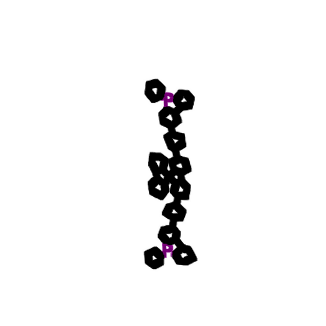 c1ccc(-p2c3ccccc3c3cc(-c4ccc(-c5ccc6c(c5)C5(c7ccccc7-c7ccccc75)c5cc(-c7ccc(-c8ccc9c(c8)c8ccccc8p9-c8ccccc8)cc7)ccc5-6)cc4)ccc32)cc1